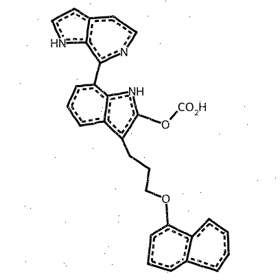 O=C(O)Oc1[nH]c2c(-c3nccc4cc[nH]c34)cccc2c1CCCOc1cccc2ccccc12